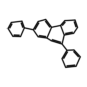 [c]1ccc(-c2ccc3c(c2)cc(-c2ccccc2)c2ccccc23)cc1